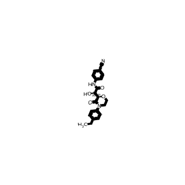 CCc1ccc(N2CCO[C@H]([C@@H](O)C(=O)Nc3ccc(C#N)cc3)C2=O)cc1